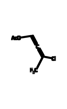 CC(=O)OC=C=C(Cl)C(F)(F)F